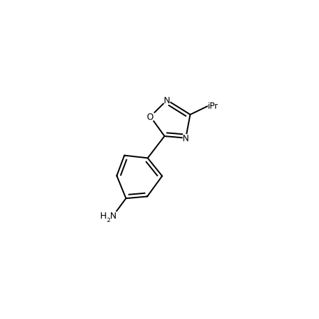 CC(C)c1noc(-c2ccc(N)cc2)n1